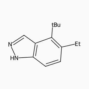 CCc1ccc2[nH]ncc2c1C(C)(C)C